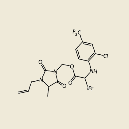 C=CCN1C(=O)N(COC(=O)C(Nc2ccc(C(F)(F)F)cc2Cl)C(C)C)C(=O)C1C